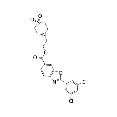 O=C(OCCN1CCS(=O)(=O)CC1)c1ccc2nc(-c3cc(Cl)cc(Cl)c3)oc2c1